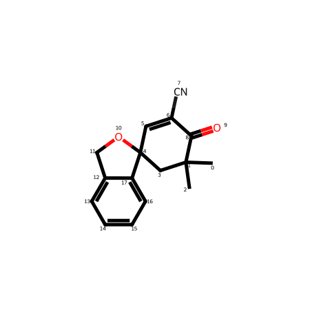 CC1(C)CC2(C=C(C#N)C1=O)OCc1ccccc12